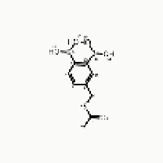 CC(=O)SCc1ccc(B(O)O)c(B(O)O)c1